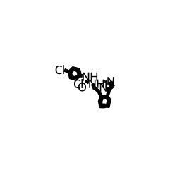 O=C(NCC1c2ccccc2-c2cncn21)Nc1ccc(Cl)cc1Cl